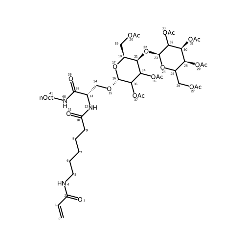 C=CC(=O)NCCCCCC(=O)N[C@@H](CO[C@@H]1O[C@@H](COC(C)=O)[C@@H](O[C@@H]2OC(COC(C)=O)[C@H](OC(C)=O)[C@H](OC(C)=O)C2OC(C)=O)C(OC(C)=O)C1OC(C)=O)C(=O)NCCCCCCCC